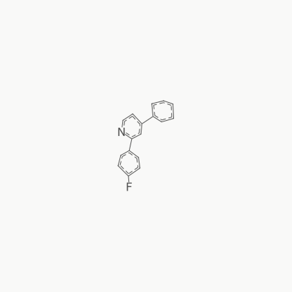 Fc1ccc(-c2cc(-c3ccccc3)ccn2)cc1